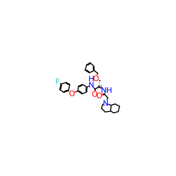 O=C(CN1CCCC2CCCCC21)N[C@@H](COCc1ccccc1)C(=O)Nc1ccc(Oc2ccc(F)cc2)cc1